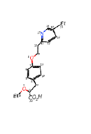 CCO[C@H](Cc1ccc(OCCc2ccc(CC)cn2)cc1)C(=O)O